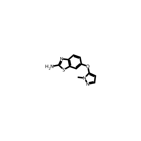 Cn1nccc1Oc1ccc2nc(N)sc2c1